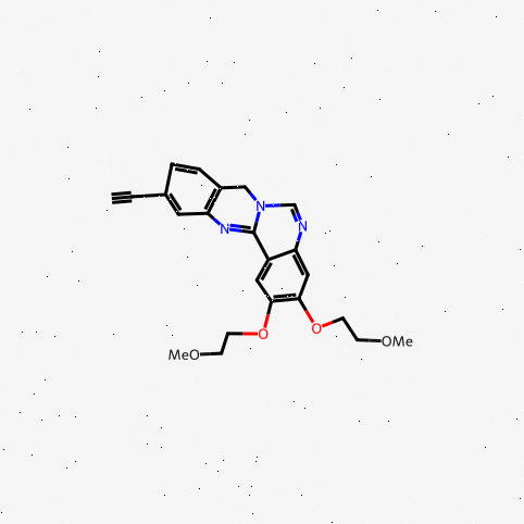 C#Cc1ccc2c(c1)N=C1c3cc(OCCOC)c(OCCOC)cc3N=CN1C2